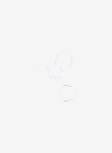 CC(=O)c1nn(-c2ccccc2)[n+]2ccccc12